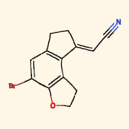 N#CC=C1CCc2cc(Br)c3c(c21)CCO3